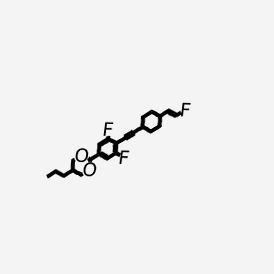 CCCC1COC(c2cc(F)c(C#CC3CCC(/C=C/F)CC3)c(F)c2)OC1